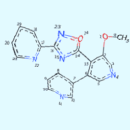 COc1cncc(-c2cccnc2)c1-c1nc(-c2ccccn2)no1